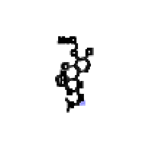 COCOc1c(Cl)ccc(-c2nc(/N=C\N(C)C)nc3cc[nH]c23)c1Cl